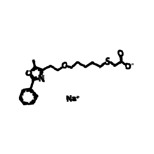 Cc1oc(-c2ccccc2)nc1CCOCCCCCSCC(=O)[O-].[Na+]